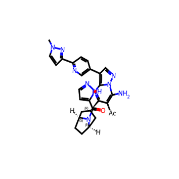 CC(=O)c1c([C@H]2C[C@H]3CC[C@@H](C2)N3C(=O)c2ccn[nH]2)nc2c(-c3ccc(-c4ccn(C)n4)nc3)cnn2c1N